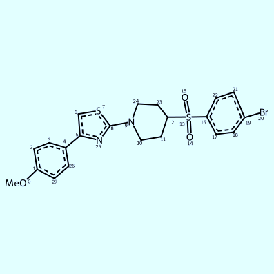 COc1ccc(-c2csc(N3CCC(S(=O)(=O)c4ccc(Br)cc4)CC3)n2)cc1